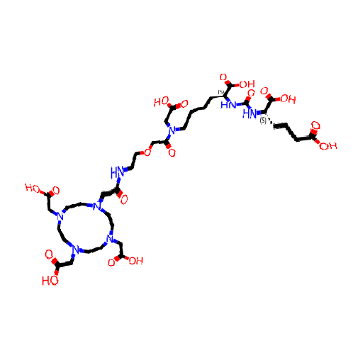 O=C(O)CCC[C@H](NC(=O)N[C@@H](CCCCN(CC(=O)O)C(=O)COCCNC(=O)CN1CCN(CC(=O)O)CCN(CC(=O)O)CCN(CC(=O)O)CC1)C(=O)O)C(=O)O